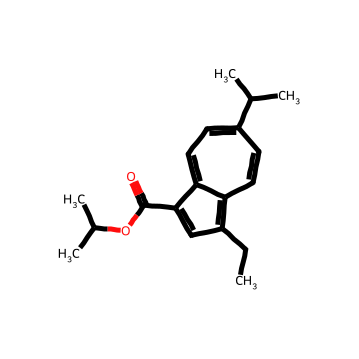 CCc1cc(C(=O)OC(C)C)c2ccc(C(C)C)ccc1-2